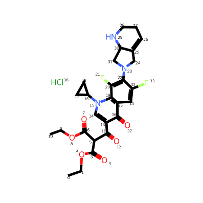 CCOC(=O)C(C(=O)OCC)C(=O)c1cn(C2CC2)c2c(F)c(N3CC4=CCCNC4C3)c(F)cc2c1=O.Cl